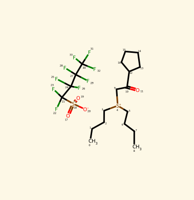 CCCC[S+](CCCC)CC(=O)C1CCCC1.O=S(=O)([O-])C(F)(F)C(F)(F)C(F)(F)C(F)(F)F